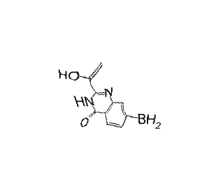 Bc1ccc2c(=O)[nH]c(C(=C)O)nc2c1